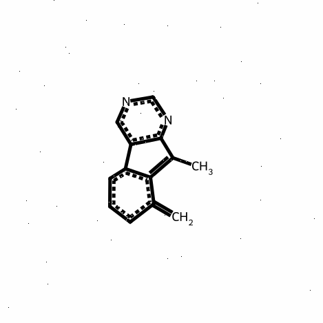 C=c1cccc2c1=C(C)c1ncncc1-2